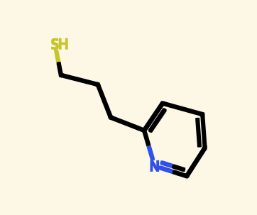 SCCCc1ccccn1